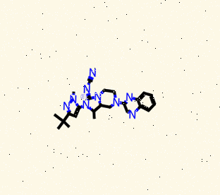 CC1C2CN(c3cnc4ccccc4n3)CCN2/C(=N\C#N)N1c1cc(C(C)(C)C)nn1C